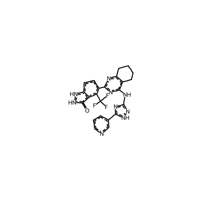 O=c1[nH][nH]c2ccc(-c3nc4c(c(Nc5n[nH]c(-c6cccnc6)n5)n3)CCCC4)c(C(F)(F)F)c12